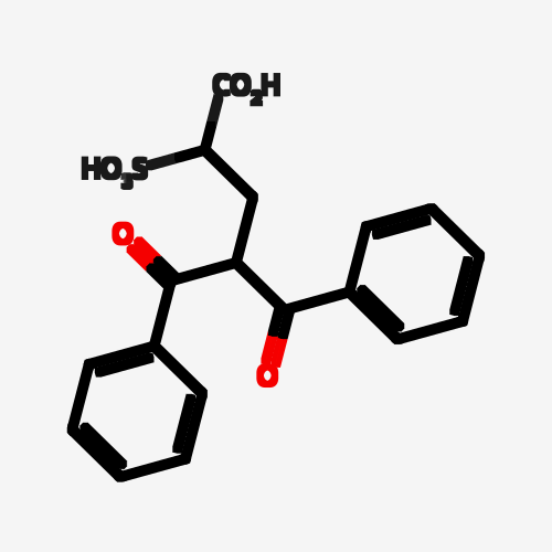 O=C(c1ccccc1)C(CC(C(=O)O)S(=O)(=O)O)C(=O)c1ccccc1